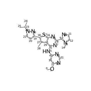 COc1cc(Nc2nc(-c3nccn3C)nc3sc(-c4ccn(C(C)C)n4)c(C)c23)ncn1